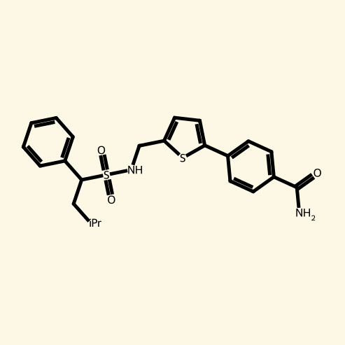 CC(C)CC(c1ccccc1)S(=O)(=O)NCc1ccc(-c2ccc(C(N)=O)cc2)s1